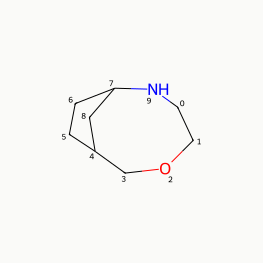 C1COCC2CCC(C2)N1